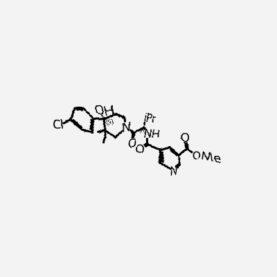 COC(=O)c1cncc(C(=O)N[C@@H](C(=O)N2CC[C@](O)(c3ccc(Cl)cc3)C(C)(C)C2)C(C)C)c1